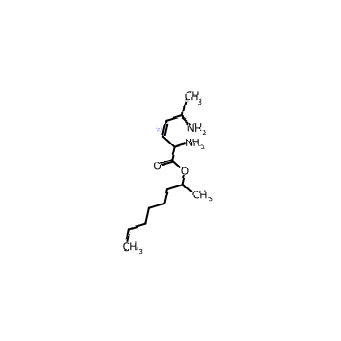 CCCCCCC(C)OC(=O)C(N)/C=C\C(C)N